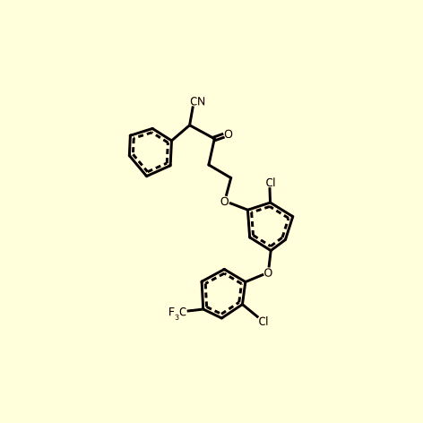 N#CC(C(=O)CCOc1cc(Oc2ccc(C(F)(F)F)cc2Cl)ccc1Cl)c1ccccc1